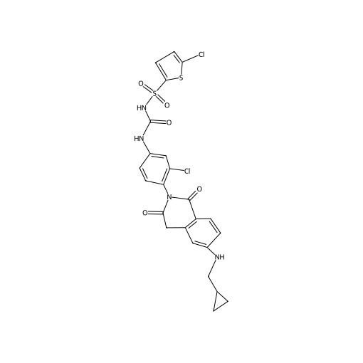 O=C(Nc1ccc(N2C(=O)Cc3cc(NCC4CC4)ccc3C2=O)c(Cl)c1)NS(=O)(=O)c1ccc(Cl)s1